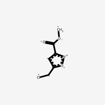 COC(=O)c1cc(CCl)on1